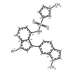 CC(C)n1cc(-c2ccc3ccn(C)c3c2)c2c(NS(=O)(=O)c3ccn(C)n3)ccnc21